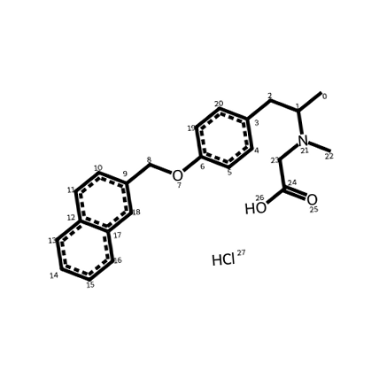 CC(Cc1ccc(OCc2ccc3ccccc3c2)cc1)N(C)CC(=O)O.Cl